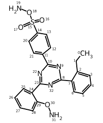 CCc1ccccc1-c1nc(-c2ccc(S(=O)(=O)ON)cc2)nc(-c2ccccc2ON)n1